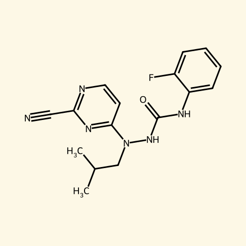 CC(C)CN(NC(=O)Nc1ccccc1F)c1ccnc(C#N)n1